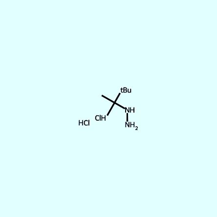 CC(C)(C)C(C)(C)NN.Cl.Cl